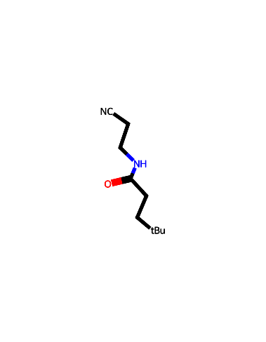 CC(C)(C)CCC(=O)NCCC#N